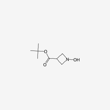 CC(C)(C)OC(=O)C1CN(O)C1